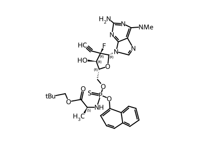 C#C[C@@]1(F)[C@H](O)[C@@H](COP(=S)(N[C@@H](C)C(=O)OCC(C)(C)C)Oc2cccc3ccccc23)O[C@H]1n1cnc2c(NC)nc(N)nc21